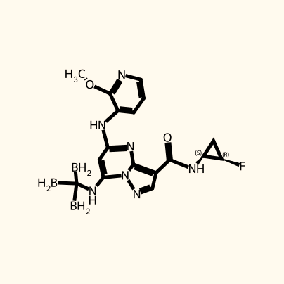 BC(B)(B)Nc1cc(Nc2cccnc2OC)nc2c(C(=O)N[C@H]3C[C@H]3F)cnn12